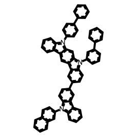 c1ccc(-c2ccc(-n3c4ccccc4c4cc5c6cc(-c7ccc8c(c7)c7ccccc7n8-c7ccc8ccccc8c7)ccc6n(-c6cccc(-c7ccccc7)c6)c5cc43)cc2)cc1